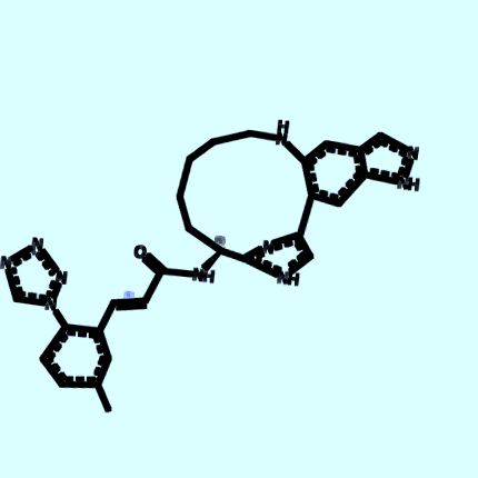 Cc1ccc(-n2cnnn2)c(/C=C/C(=O)N[C@H]2CCCCCNc3cc4cn[nH]c4cc3-c3c[nH]c2n3)c1